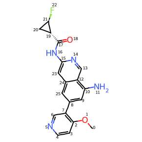 COc1ccncc1-c1cc(N)c2cnc(NC(=O)[C@@H]3C[C@H]3F)cc2c1